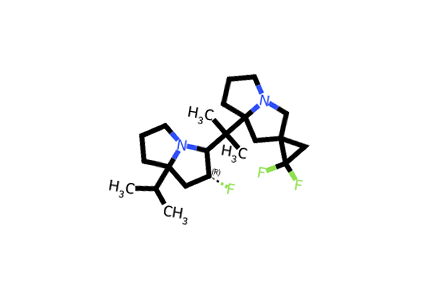 CC(C)C12CCCN1C(C(C)(C)C13CCCN1CC1(CC1(F)F)C3)[C@H](F)C2